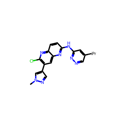 CC(C)c1cnnc(Nc2ccc3nc(Cl)c(-c4cnn(C)c4)cc3n2)c1